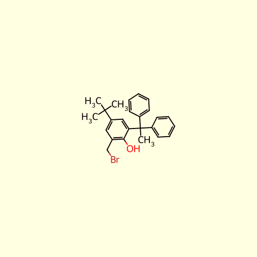 CC(C)(C)c1cc(CBr)c(O)c(C(C)(c2ccccc2)c2ccccc2)c1